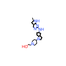 Cc1cc2cnc(Nc3ccc4c(ccn4C4CCN(CCO)CC4)c3)nc2[nH]1